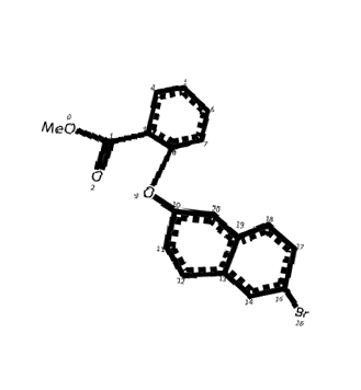 COC(=O)c1ccccc1Oc1ccc2cc(Br)ccc2c1